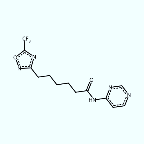 O=C(CCCCCc1noc(C(F)(F)F)n1)Nc1ccncn1